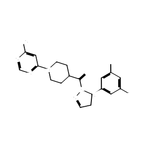 N#Cc1cc(N2CCC(C(=O)N3N=CC[C@@H]3c3cc(F)cc(F)c3)CC2)ncn1